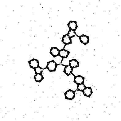 c1ccc(-n2c3ccccc3c3ccc(-c4ccc(N(c5ccc(-n6c7ccccc7c7ccccc76)cc5)c5ccc(-c6ccc7c8ccccc8n(-c8ccccc8)c7c6)c6ccccc56)c5ccccc45)cc32)cc1